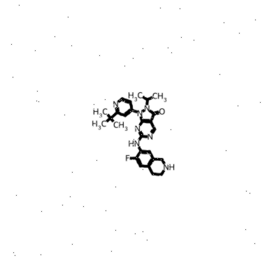 CC(C)n1c(=O)c2cnc(Nc3cc4c(cc3F)CCNC4)nc2n1-c1ccnc(C(C)(C)C)c1